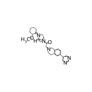 COC1CCCC[C@@H]1N1CC2C[C@H]1CN2C(=O)CN1CCc2cc(-c3cncnc3)ccc2C1